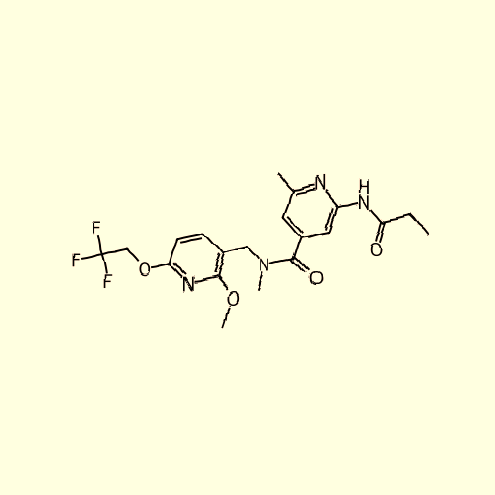 CCC(=O)Nc1cc(C(=O)N(C)Cc2ccc(OCC(F)(F)F)nc2OC)cc(C)n1